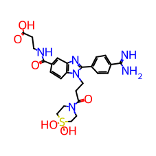 N=C(N)c1ccc(-c2nc3cc(C(=O)NCCC(=O)O)ccc3n2CCC(=O)N2CCS(O)(O)CC2)cc1